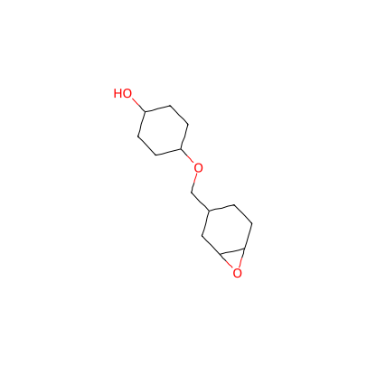 OC1CCC(OCC2CCC3OC3C2)CC1